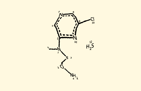 CN(SON)c1cncc(Cl)n1.S